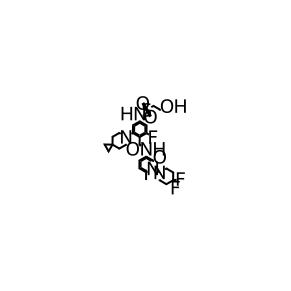 Cc1ccc(NC(=O)c2c(F)cc(NS(=O)(=O)CCO)cc2N2CCC3(CC2)CC3)c(=O)n1N1CCC(F)(F)CC1